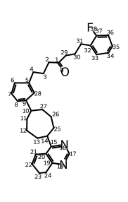 O=C(CCCc1cccc(C2CCCC(c3ncnc4c3C=CCC4)CCC2)c1)CCCc1ccccc1F